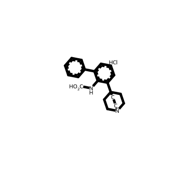 Cl.O=C(O)Nc1c(-c2ccccc2)cccc1C12CCN(CC1)CC2